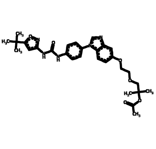 CC(=O)OC(C)(C)COCCOc1ccc2c(c1)ncn2-c1ccc(NC(=O)Nc2cc(C(C)(C)C)on2)cc1